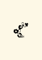 CC(C)(C)OC(=O)N1CC[C@@H](Oc2ccccc2N2CCNCC2)C1